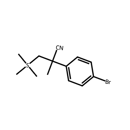 CC(C#N)(CS(C)(C)C)c1ccc(Br)cc1